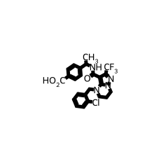 CC(NC(=O)c1c(C(F)(F)F)nn2c1N(Cc1ccccc1Cl)CCC2)c1ccc(C(=O)O)cc1